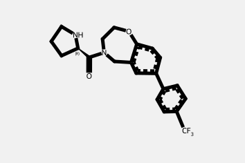 O=C([C@H]1CCCN1)N1CCOc2ccc(-c3ccc(C(F)(F)F)cc3)cc2C1